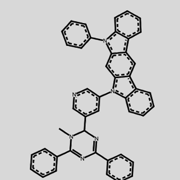 CN1C(c2ccccc2)=NC(c2ccccc2)=NC1c1cncc(-n2c3ccccc3c3cc4c5ccccc5n(-c5ccccc5)c4cc32)c1